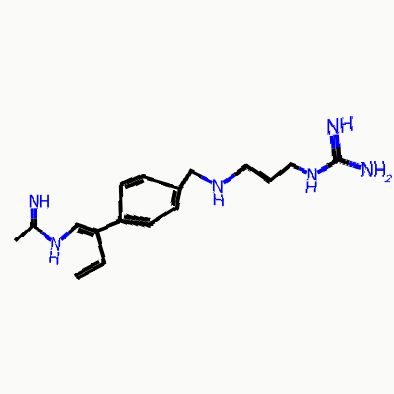 C=C/C(=C\NC(C)=N)c1ccc(CNCCCNC(=N)N)cc1